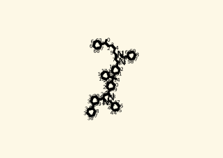 C/C(=C\C=C/Cc1cc(-c2ccc(C(C)(c3ccccc3)c3ccc(-c4cc(-c5cccc(-c6ccccc6)c5)nc(-c5ccccc5)n4)cc3)cc2)nc(-c2ccccc2)n1)c1ccccc1